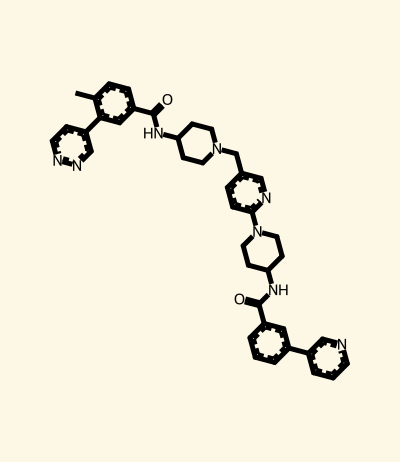 Cc1ccc(C(=O)NC2CCN(Cc3ccc(N4CCC(NC(=O)c5cccc(-c6cccnc6)c5)CC4)nc3)CC2)cc1-c1ccnnc1